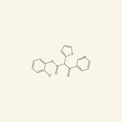 O=C(Oc1ccccc1Cl)C(C(=O)c1cccnc1)c1cccs1